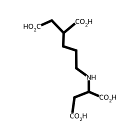 O=C(O)CC(CCCNC(CC(=O)O)C(=O)O)C(=O)O